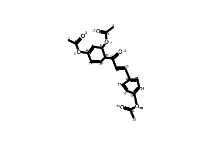 CC(=O)OC1=CC(OC(C)=O)C(C(=O)/C=C/c2ccc(OC(C)=O)cc2)C=C1